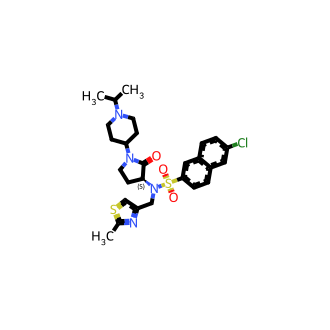 Cc1nc(CN([C@H]2CCN(C3CCN(C(C)C)CC3)C2=O)S(=O)(=O)c2ccc3cc(Cl)ccc3c2)cs1